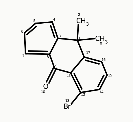 CC1(C)c2ccccc2C(=O)c2c(Br)cccc21